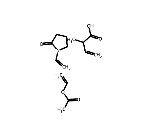 C=CC(C)C(=O)O.C=CN1CCCC1=O.C=COC(C)=O